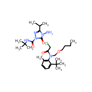 CC(C)c1nn(C(=O)NC(C)(C)C)c(=O)n1N.CCCCOCN(C(=O)CCl)c1c(C)cccc1C(C)(C)C